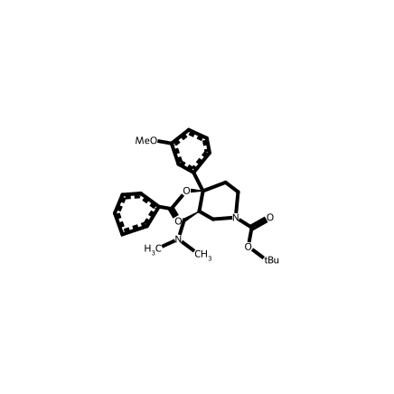 COc1cccc([C@]2(OC(=O)c3ccccc3)CCN(C(=O)OC(C)(C)C)C[C@H]2CN(C)C)c1